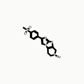 CC(=O)N1CCc2c(sc3nc(-c4ccc(S(C)(=O)=O)cc4)cn23)C1